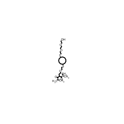 CN(C)C(=O)C(CCOCCSC1CCCCCC(SCCOCCOCCO)CCCC1)C(=O)N(C)C